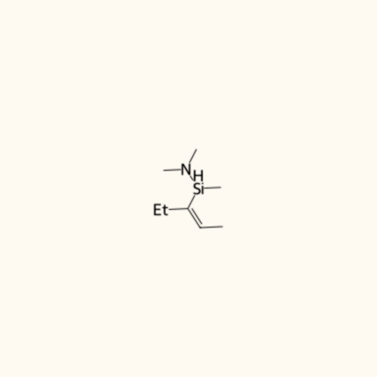 CC=C(CC)[SiH](C)N(C)C